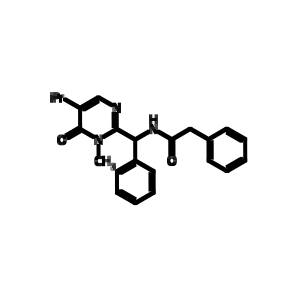 CC(C)c1cnc(C(NC(=O)Cc2ccccc2)c2ccccc2)n(C)c1=O